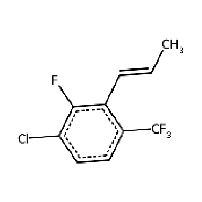 CC=Cc1c(C(F)(F)F)ccc(Cl)c1F